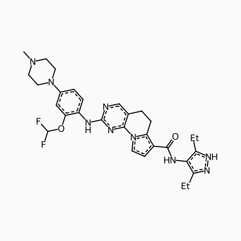 CCc1n[nH]c(CC)c1NC(=O)c1ccn2c1CCc1cnc(Nc3ccc(N4CCN(C)CC4)cc3OC(F)F)nc1-2